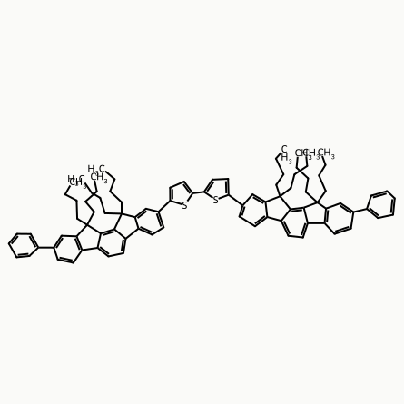 CCCCC1(CCCC)c2cc(-c3ccccc3)ccc2-c2ccc3c(c21)C(CCCC)(CCCC)c1cc(-c2ccc(-c4ccc(-c5ccc6c(c5)C(CCCC)(CCCC)c5c-6ccc6c5C(CCCC)(CCCC)c5cc(-c7ccccc7)ccc5-6)s4)s2)ccc1-3